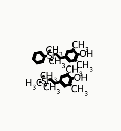 Cc1cc(CC[Si](C)(C)C)cc(C)c1O.Cc1cc(CC[Si](C)(C)c2ccccc2)cc(C)c1O